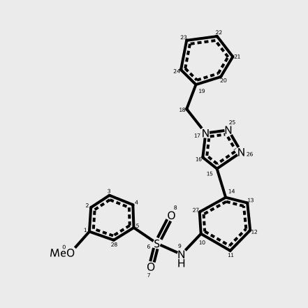 COc1cccc(S(=O)(=O)Nc2cccc(-c3cn(Cc4ccccc4)nn3)c2)c1